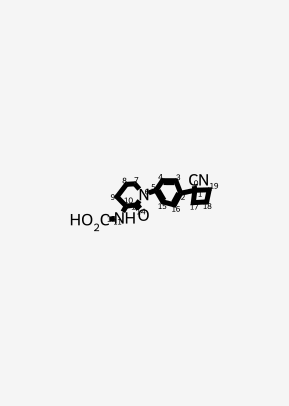 N#CC1(c2ccc(N3CCCC(NC(=O)O)C3=O)cc2)CCC1